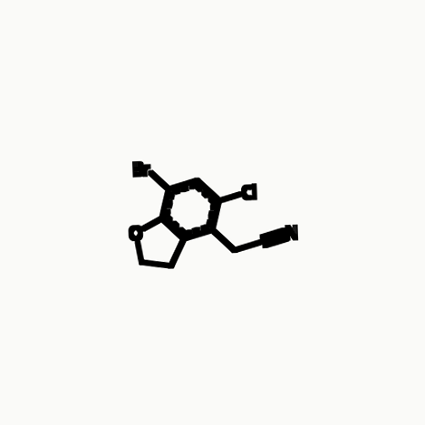 N#CCc1c(Cl)cc(Br)c2c1CCO2